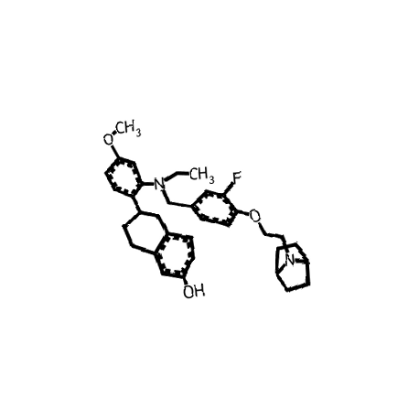 CCN(Cc1ccc(OCCN2C3CCC2CC3)c(F)c1)c1cc(OC)ccc1C1CCc2cc(O)ccc2C1